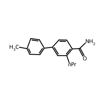 CCCc1cc(-c2ccc(C)cc2)ccc1C(N)=O